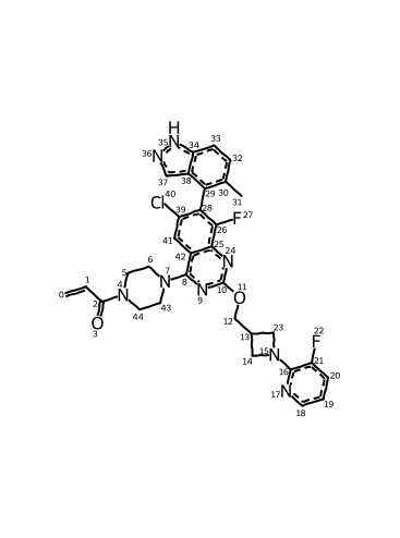 C=CC(=O)N1CCN(c2nc(OCC3CN(c4ncccc4F)C3)nc3c(F)c(-c4c(C)ccc5[nH]ncc45)c(Cl)cc23)CC1